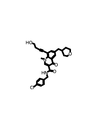 Cn1cc(C(=O)NCc2ccc(Cl)cc2)c(=O)c2cc(CC3CCOCC3)cc(C#CCCO)c21